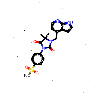 CC1(C)C(=O)N(c2ccc(S(=O)(=O)C(F)(F)F)cc2)C(=O)N1Cc1ccnc2[nH]ccc12